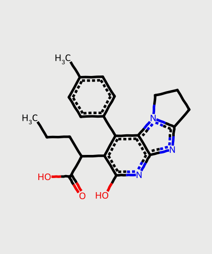 CCCC(C(=O)O)c1c(O)nc2nc3n(c2c1-c1ccc(C)cc1)CCC3